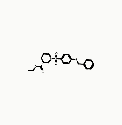 CCOC(=O)[C@@H]1CCCN(S(=O)(=O)c2ccc(SCc3ccccc3)cc2)C1